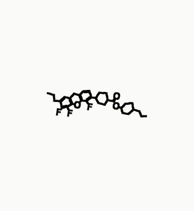 CCCc1cc2c(c(F)c1F)Oc1c(ccc(C3CCC(C(=O)OC4CCC(CCC)CC4)CC3)c1F)C2